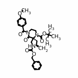 C=CC[C@@]1(CNC(=O)OCc2ccccc2)C(=O)N(C(=O)c2ccc(OC)cc2)CCN1C(=O)OC(C)(C)C